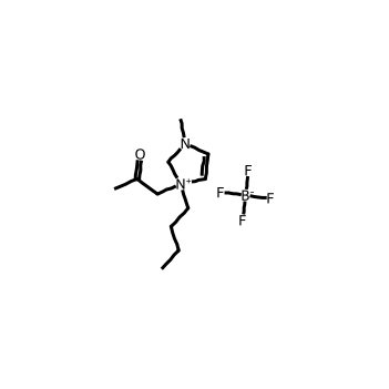 CCCC[N+]1(CC(C)=O)C=CN(C)C1.F[B-](F)(F)F